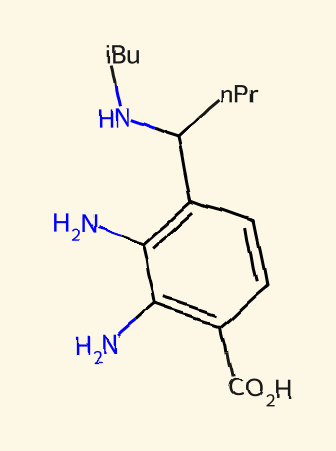 CCCC(NC(C)CC)c1ccc(C(=O)O)c(N)c1N